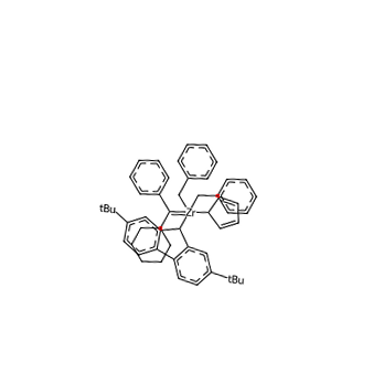 CC(C)(C)c1ccc2c(c1)[CH]([Zr]([CH2]c1ccccc1)([CH2]c1ccccc1)(=[C](c1ccccc1)C1CCCCC1)[CH]1C=CC=C1)c1cc(C(C)(C)C)ccc1-2